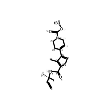 C=C[C@](C)(NC(=O)c1scc(C2=CCN(C(=O)OC(C)(C)C)CC2)c1C)C(C)C